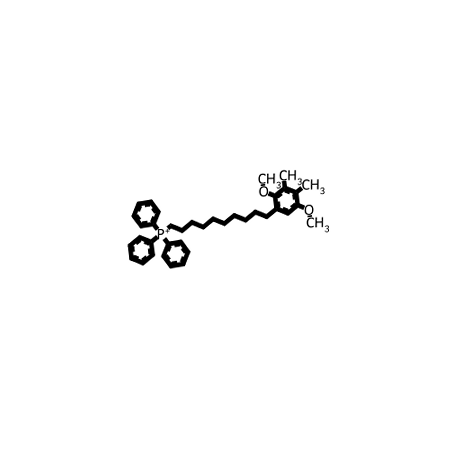 COc1cc(CCCCCCCCCC[P+](c2ccccc2)(c2ccccc2)c2ccccc2)c(OC)c(C)c1C